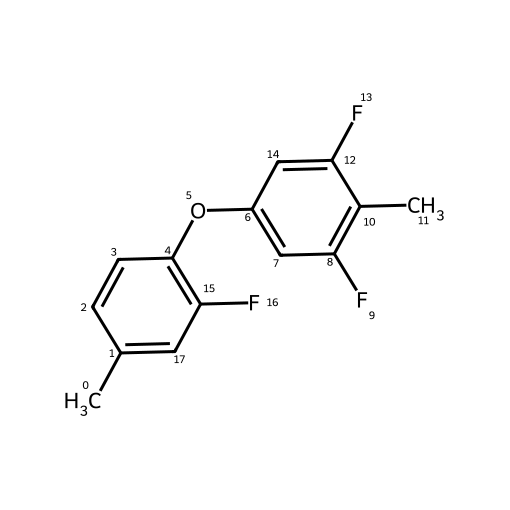 Cc1ccc(Oc2cc(F)c(C)c(F)c2)c(F)c1